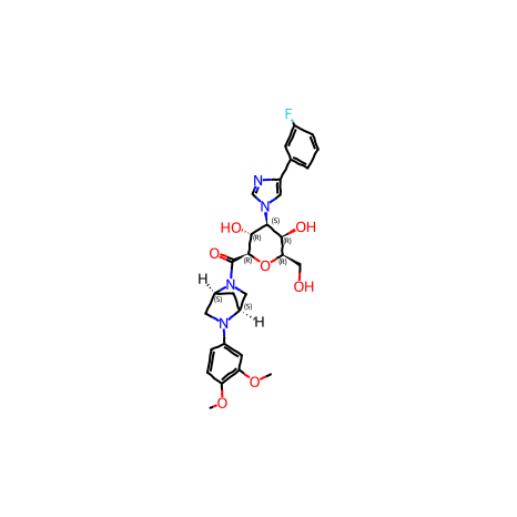 COc1ccc(N2C[C@@H]3C[C@H]2CN3C(=O)[C@@H]2O[C@H](CO)[C@H](O)[C@H](n3cnc(-c4cccc(F)c4)c3)[C@H]2O)cc1OC